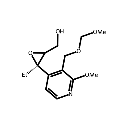 CC[C@]1(c2ccnc(OC)c2COCOC)OC1CO